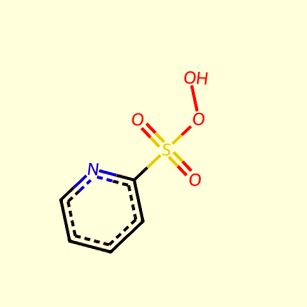 O=S(=O)(OO)c1ccccn1